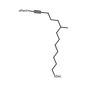 [CH2]CCCCC#CCCCC(C)CCCCCCCCCCCCCCCC[CH2]